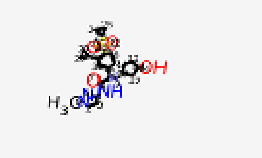 Cn1ccc(NC(=O)/C(=C/[C@H]2CC[C@@H](O)C2)c2ccc(S(=O)(=O)C3CC3)c(C3CC3)c2)n1